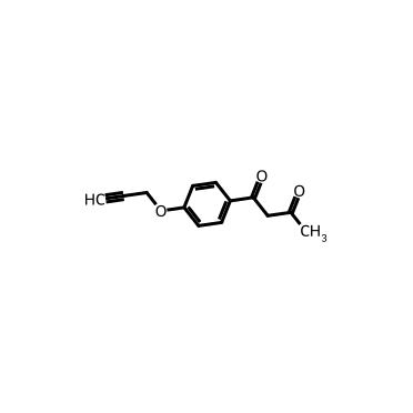 C#CCOc1ccc(C(=O)CC(C)=O)cc1